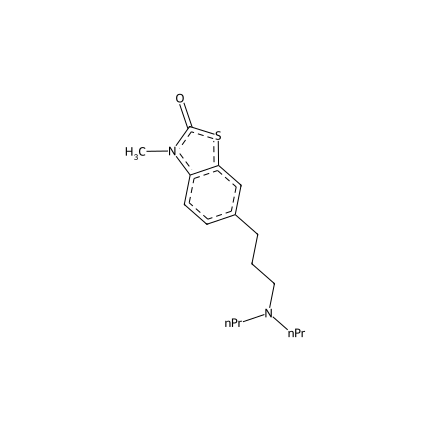 CCCN(CCC)CCCc1ccc2c(c1)sc(=O)n2C